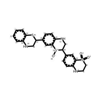 O=S1(=O)CCNc2ccc(C3CNc4ccc(C5CNc6ccccc6S5)cc4[S+]3[O-])cc21